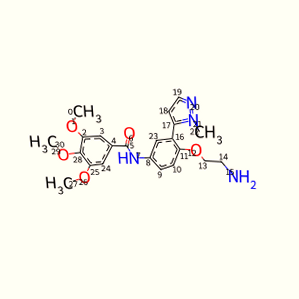 COc1cc(C(=O)Nc2ccc(OCCN)c(-c3ccnn3C)c2)cc(OC)c1OC